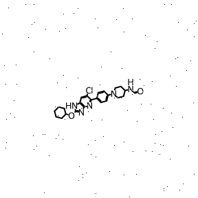 O=CNC1CCN(c2ccc(-c3nc4nc(OC5CCCCC5)[nH]c4cc3Cl)cc2)CC1